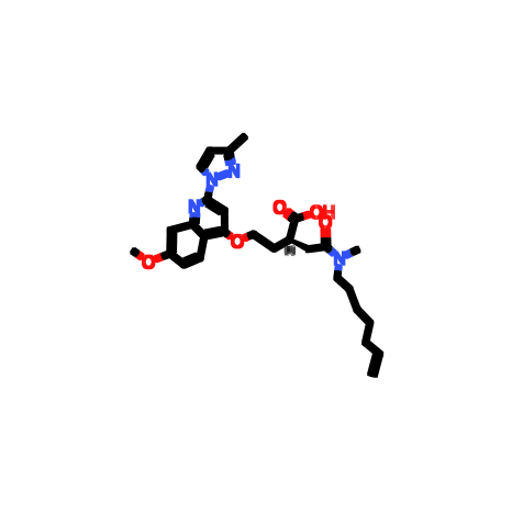 C=CCCCCCN(C)C(=O)C[C@@H](CCOc1cc(-n2ccc(C)n2)nc2cc(OC)ccc12)C(=O)O